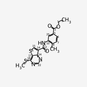 CCOC(=O)c1ccc(C)c(NC(=O)c2csc3c(SC)ncnc23)c1